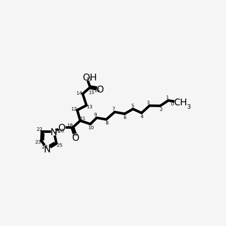 CCCCCCCCCCCC(CCCC(=O)O)C(=O)On1ccnc1